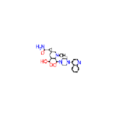 CN1CC2(CC(C(=O)O)C1C(=O)N1CCN(c3ccnc4ccccc34)CC1)CC2C(N)=O